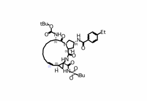 CCc1ccc(C(=O)N[C@@H]2C[C@H]3C(=O)N[C@]4(C(=O)NS(=O)(=O)C(C)CC)C[C@H]4/C=C\CCCCC[C@H](NC(=O)OC(C)(C)C)C(=O)N3C2)cc1